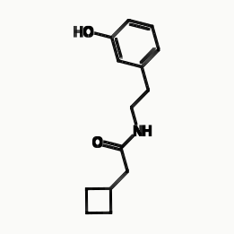 O=C(CC1CCC1)NCCc1cccc(O)c1